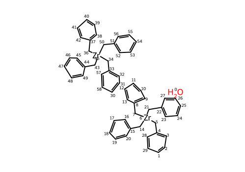 O.c1ccc([CH2][Zr]([CH2]c2ccccc2)([CH2]c2ccccc2)[CH2]c2ccccc2)cc1.c1ccc([CH2][Zr]([CH2]c2ccccc2)([CH2]c2ccccc2)[CH2]c2ccccc2)cc1